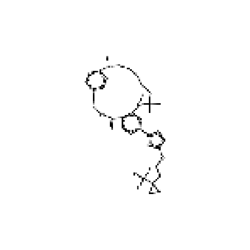 CN1CCCC2CN(c3nc(-n4ccc(OCCC5(C(F)(F)F)CC5)n4)ccc3C(=O)NSc3ccc1cn3)C(C)(C)C2